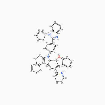 C1=CC2=C(CC1)c1c(n(-c3ccc(-c4nc5ccccc5n4-c4ccccc4)cc3)c3c1cc(-c1ccccn1)c1c4ccccc4oc13)CC2